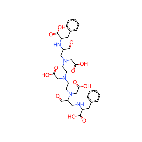 O=CC(CN(CCN(CCN(CC(=O)O)C(C=O)CNC(Cc1ccccc1)C(=O)O)CC(=O)O)CC(=O)O)NC(Cc1ccccc1)C(=O)O